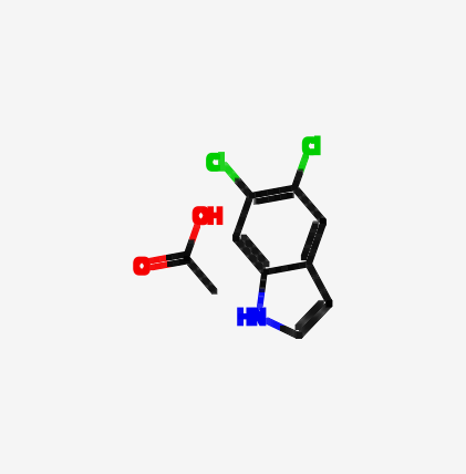 CC(=O)O.Clc1cc2cc[nH]c2cc1Cl